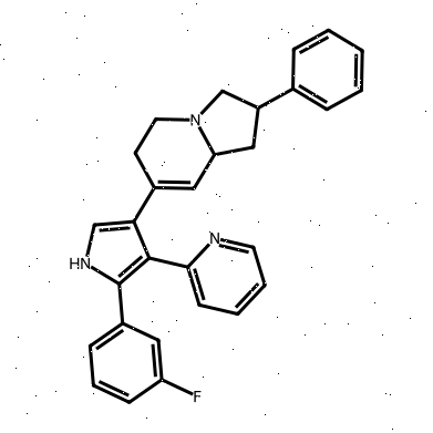 Fc1cccc(-c2[nH]cc(C3=CC4CC(c5ccccc5)CN4CC3)c2-c2ccccn2)c1